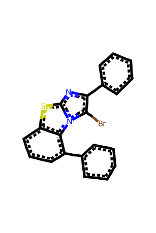 Brc1c(-c2ccccc2)nc2sc3cccc(-c4ccccc4)c3n12